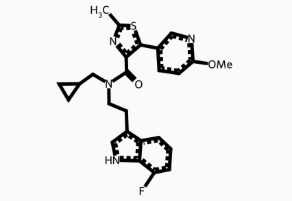 COc1ccc(-c2sc(C)nc2C(=O)N(CCc2c[nH]c3c(F)cccc23)CC2CC2)cn1